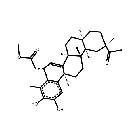 COC(=O)C[C@@H]1C=C2[C@@](C)(CC[C@@]3(C)[C@@H]4C[C@](C)(C(C)=O)CC[C@]4(C)CC[C@]23C)c2cc(O)c(O)c(C)c21